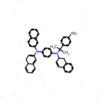 CC(C)(C)c1ccc(C(C)(C)N(c2ccc(N(C3=CCC4C=CC=CC4=C3)c3ccc4ccccc4c3)cc2)C2C=Cc3ccccc3C2)cc1